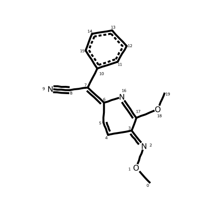 CO/N=C1C=C/C(=C(\C#N)c2ccccc2)N=C\1OC